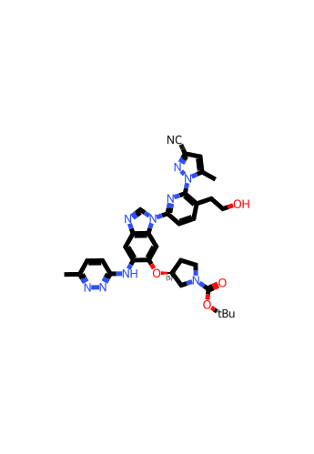 Cc1ccc(Nc2cc3ncn(-c4ccc(CCO)c(-n5nc(C#N)cc5C)n4)c3cc2O[C@H]2CCN(C(=O)OC(C)(C)C)C2)nn1